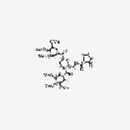 COc1cc(C(=O)N2CCN(C(=O)c3cc(OC)c(OC)c(OC)c3)C(COC(=O)N3CCCC3=O)C2)cc(OC)c1OC